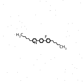 CCCCCCc1ccc(-c2ccc(-c3ccc(CCCCCC)cc3F)cc2)nc1